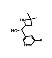 CC1(C)CC([C@H](O)c2cncc(F)c2)N1